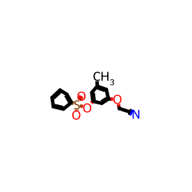 Cc1cc(OCC#N)cc(OS(=O)(=O)c2ccccc2)c1